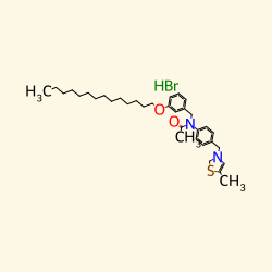 Br.CCCCCCCCCCCCCCOc1cccc(CN(C(C)=O)c2ccc(CN3C=C(C)SC3)cc2)c1